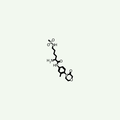 Cc1cc(NC(=O)C(N)CCCCNS(C)(=O)=O)ccc1N1CCOCC1=O